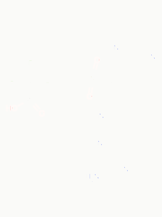 CC(C)S(=O)(=O)c1c(Nc2ccnc(N)n2)ccc2nccnc12.O=C(O)C(F)(F)F